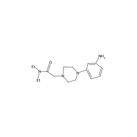 CCN(CC)C(=O)CN1CCN(c2cccc(N)c2)CC1